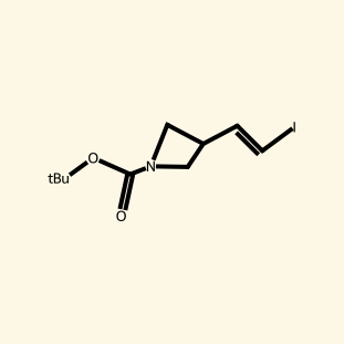 CC(C)(C)OC(=O)N1CC(/C=C/I)C1